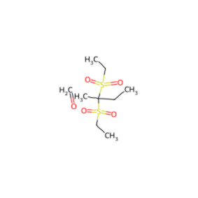 C=O.CCC(C)(S(=O)(=O)CC)S(=O)(=O)CC